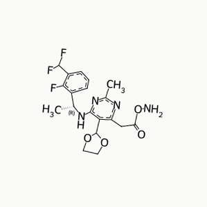 Cc1nc(CC(=O)ON)c(C2OCCO2)c(N[C@H](C)c2cccc(C(F)F)c2F)n1